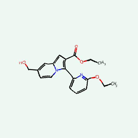 CCOC(=O)c1cc2cc(CO)ccn2c1-c1cccc(OCC)n1